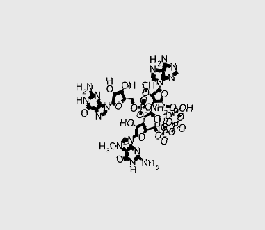 CO[C@@H]1[C@H](OP(=O)([O-])OC[C@H]2O[C@@H](n3cnc4c(=O)[nH]c(N)nc43)[C@H](O)[C@@H]2O)[C@@H](COP(=O)(O)OP(=O)(O)OP(=O)(O)OC[C@H]2OC(n3c[n+](C)c4c(=O)[nH]c(N)nc43)[C@H](O)[C@@H]2CC(N)=O)O[C@H]1n1cnc2c(N)ncnc21